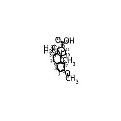 COc1ccc2c(c1)C1(C)CC3C(C(=O)O)CC1(C)C(C2)N3C